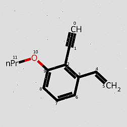 C#Cc1c([C]=C)cccc1OCCC